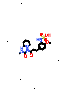 CNC(=O)N(C(=O)CCc1ccc(OC)c(NS(=O)(=O)O)c1)N1CCCCC1